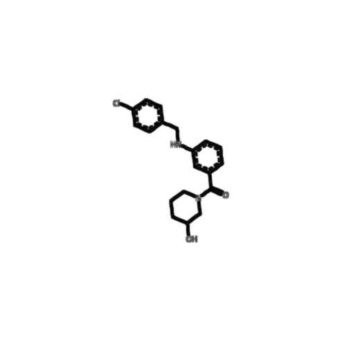 O=C(c1cccc(NCc2ccc(Cl)cc2)c1)N1CCCC(O)C1